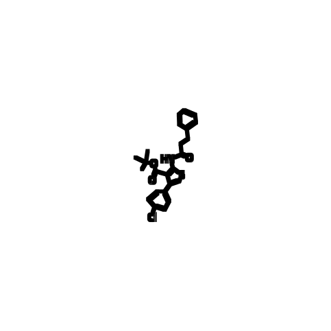 CC(C)(C)OC(=O)c1c(-c2ccc(Cl)cc2)csc1NC(=O)CCc1ccccc1